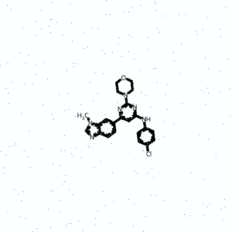 Cn1cnc2ccc(-c3cc(Nc4ccc(Cl)cc4)nc(N4CCOCC4)n3)cc21